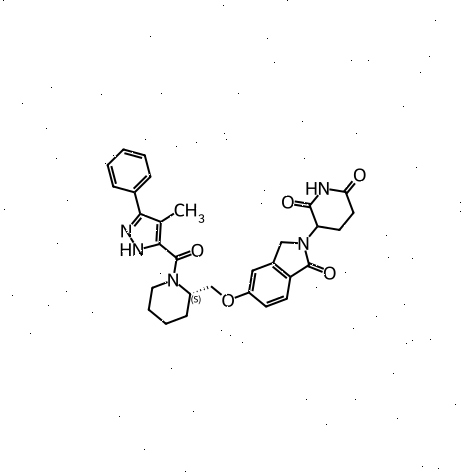 Cc1c(-c2ccccc2)n[nH]c1C(=O)N1CCCC[C@H]1COc1ccc2c(c1)CN(C1CCC(=O)NC1=O)C2=O